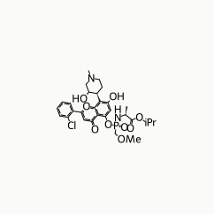 COCP(=O)(N[C@@H](C)C(=O)OC(C)C)Oc1cc(O)c([C@@H]2CCN(C)C[C@@H]2O)c2oc(-c3ccccc3Cl)cc(=O)c12